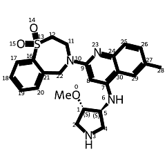 CO[C@H]1CNC[C@@H]1Nc1cc(N2CCS(=O)(=O)c3ccccc3C2)nc2ccc(C)cc12